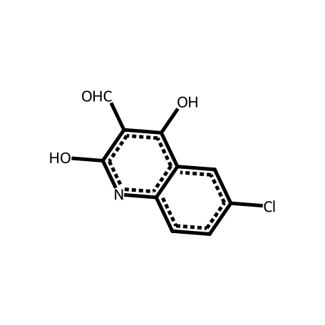 O=Cc1c(O)nc2ccc(Cl)cc2c1O